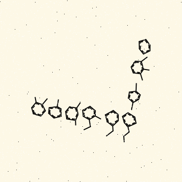 CCCc1ccccc1.CCc1ccccc1.CCc1ccccc1C.Cc1ccc(C)cc1.Cc1cccc(C)c1.Cc1cccc(C)c1C.Cc1ccccc1.Cc1ccccc1C.c1ccccc1